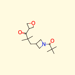 CC(C)(C)C(=O)N1CC(CC(C)(C)C(=O)C2COC2)C1